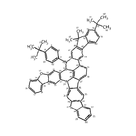 CC(C)(C)c1ccc(N2B3c4cc5oc6ccccc6c5cc4-n4c5cc6sc7ccccc7c6cc5c5ccc(c3c54)-c3cc4c(cc32)C(C)(C)c2cc(C(C)(C)C)ccc2-4)cc1